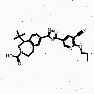 CCCOc1ncc(-c2nc(-c3ccc4c(c3)CCN(C(=O)O)CC4C(C)(C)C)no2)cc1C#N